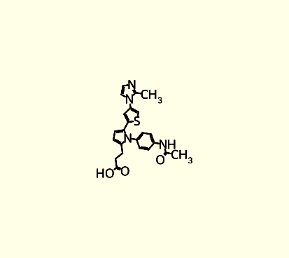 CC(=O)Nc1ccc(-n2c(CCC(=O)O)ccc2-c2cc(-n3ccnc3C)cs2)cc1